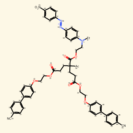 CCN(CCOC(=O)C(CCC(=O)OCCOc1ccc(-c2ccc(C#N)cc2)cc1)(CCC(=O)OCCOc1ccc(-c2ccc(C#N)cc2)cc1)C(C)=O)c1ccc(/N=N/c2ccc([N+](=O)[O-])cc2)cc1